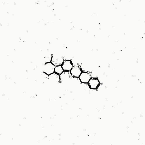 CCc1c(Br)c2c(NC(Cc3ccccc3)C(=O)O)ncnc2n1C(C)C